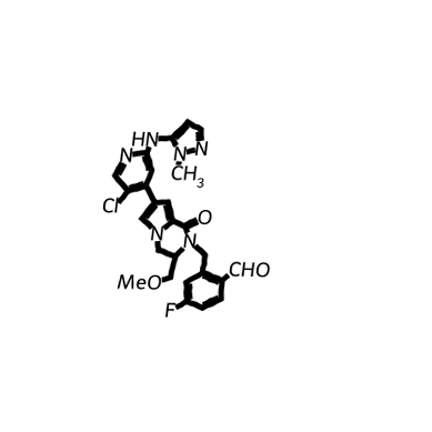 COCC1Cn2cc(-c3cc(Nc4ccnn4C)ncc3Cl)cc2C(=O)N1Cc1cc(F)ccc1C=O